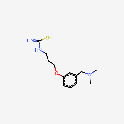 CN(C)Cc1cccc(OCCCNC(=N)S)c1